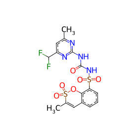 CC1=Cc2cccc(S(=O)(=O)NC(=O)Nc3nc(C)cc(C(F)F)n3)c2OS1(=O)=O